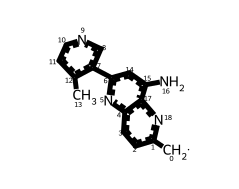 [CH2]c1ccc2nc(-c3cnccc3C)cc(N)c2n1